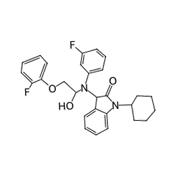 O=C1C(N(c2cccc(F)c2)C(O)COc2ccccc2F)c2ccccc2N1C1CCCCC1